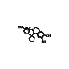 CN1CCc2cc(O)c(O)cc2C1C1(c2ccc(O)cc2)CCCC1